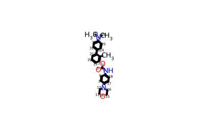 Cc1c(OC(=O)Nc2ccc(N3CCOCC3)cc2)cccc1-c1ccc(N(C)C)cc1